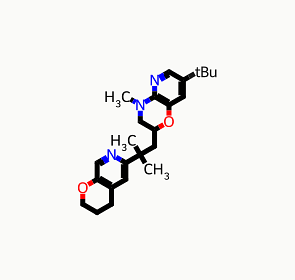 CN1CC(CC(C)(C)c2cc3c(cn2)OCCC3)Oc2cc(C(C)(C)C)cnc21